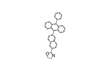 c1ccc(-c2c3ccccc3c(-c3ccc4cc(C5=NCCO5)ccc4c3)c3ccccc23)cc1